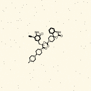 C#Cc1cc(C[C@@H](OC(=O)N2CCC3(CC2)OC(=O)Nc2ccccc23)C(=O)N2CCC(N3CCN(C)CC3)CC2)cc(Cl)c1N